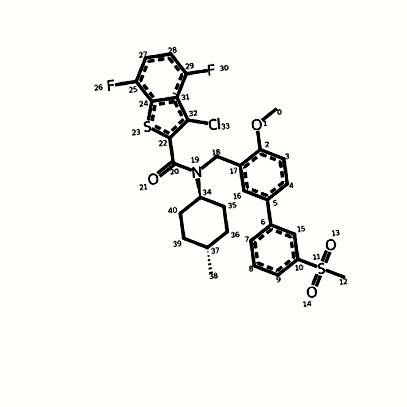 COc1ccc(-c2cccc(S(C)(=O)=O)c2)cc1CN(C(=O)c1sc2c(F)ccc(F)c2c1Cl)[C@H]1CC[C@H](C)CC1